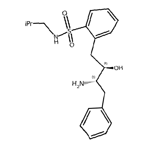 CC(C)CNS(=O)(=O)c1ccccc1C[C@@H](O)[C@@H](N)Cc1ccccc1